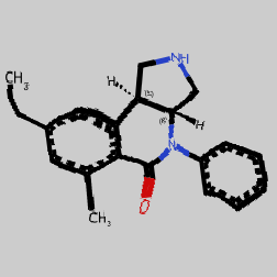 CCc1cc(C)c2c(c1)[C@H]1CNC[C@@H]1N(c1ccccc1)C2=O